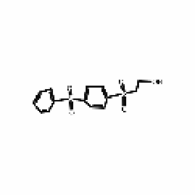 O=S(=O)(CCO)c1ccc(S(=O)(=O)c2ccccc2)cc1